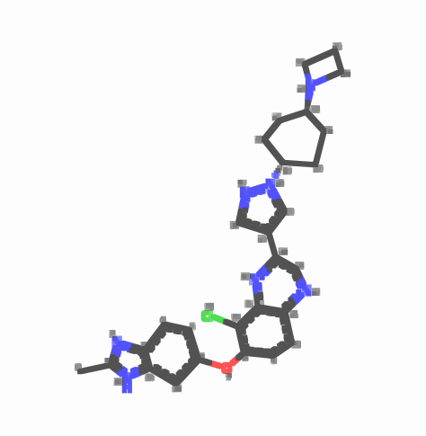 Cc1nc2ccc(Oc3ccc4ncc(-c5cnn([C@H]6CC[C@H](N7CCC7)CC6)c5)nc4c3Cl)cc2[nH]1